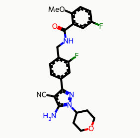 COc1ccc(F)cc1C(=O)NCc1ccc(-c2nn(C3CCOCC3)c(N)c2C#N)cc1F